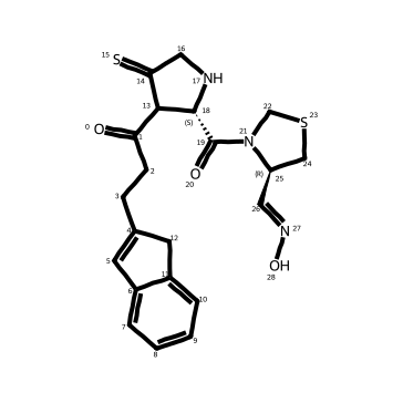 O=C(CCC1=Cc2ccccc2C1)C1C(=S)CN[C@@H]1C(=O)N1CSC[C@H]1C=NO